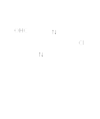 Cn1c(C=O)nc(-c2ccccc2)c1Cl